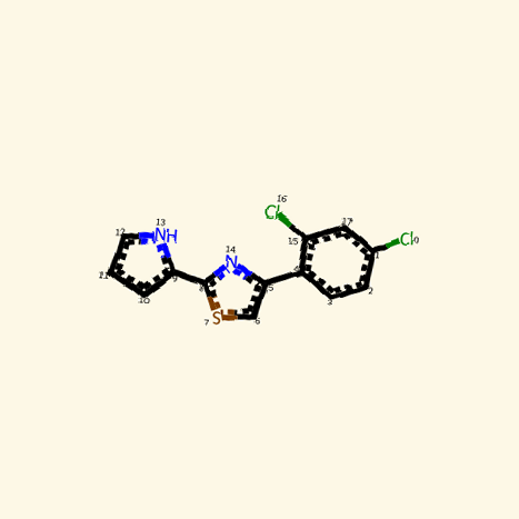 Clc1ccc(-c2csc(-c3ccc[nH]3)n2)c(Cl)c1